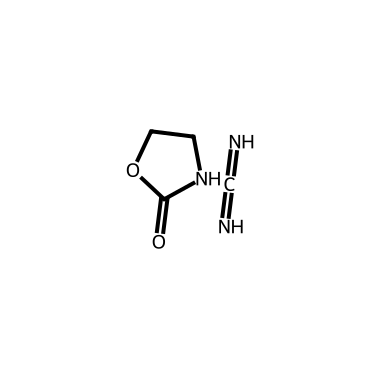 N=C=N.O=C1NCCO1